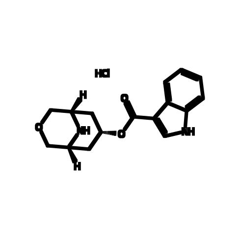 Cl.O=C(O[C@H]1C[C@H]2COC[C@@H](C1)N2)c1c[nH]c2ccccc12